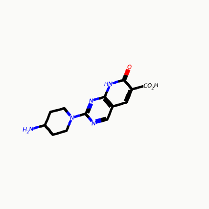 NC1CCN(c2ncc3cc(C(=O)O)c(=O)[nH]c3n2)CC1